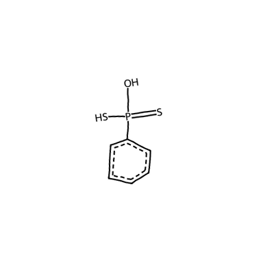 OP(=S)(S)c1ccccc1